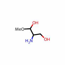 COC(O)C(N)CO